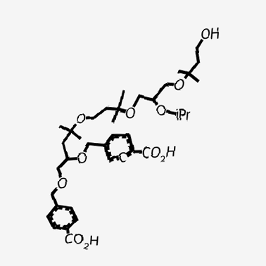 CC(C)OC(COC(C)(C)CCO)COC(C)(C)CCOC(C)(C)CC(COCc1ccc(C(=O)O)cc1)OCc1ccc(C(=O)O)cc1